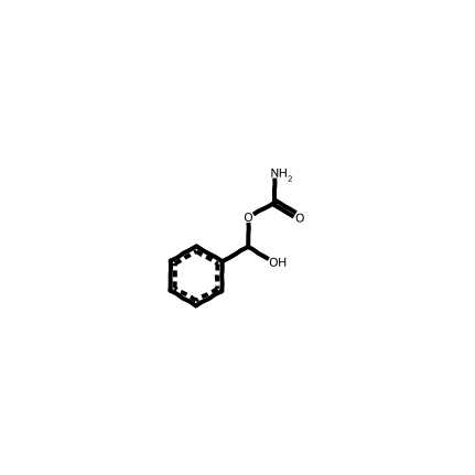 NC(=O)OC(O)c1ccccc1